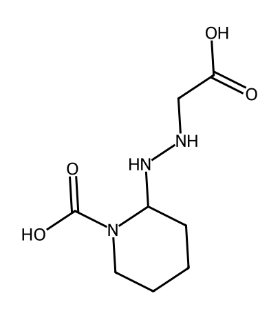 O=C(O)CNNC1CCCCN1C(=O)O